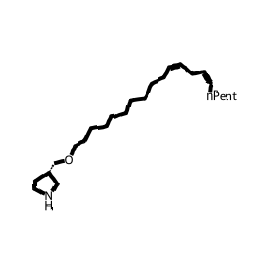 CCCCC/C=C\C/C=C\CCCCCCCCCCOC[C@H]1CCNC1